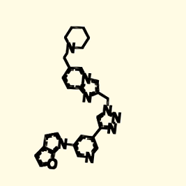 c1cc2ccn(-c3cncc(-c4cn(Cc5cn6cc(CN7CCCCC7)ccc6n5)nn4)c3)c2o1